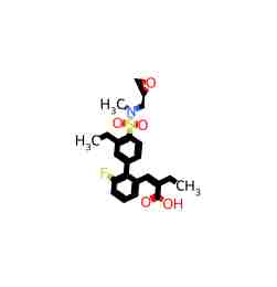 CCC(=Cc1cccc(F)c1-c1ccc(S(=O)(=O)N(C)C[C@H]2CO2)c(CC)c1)C(=O)O